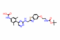 Cc1cc(NC(=O)O)cc(C)c1-c1cnnc(NCc2nc3cc(OCCNC(=O)OC(C)(C)C)ccc3s2)n1